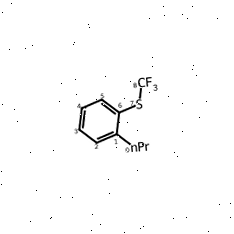 CCCc1cc[c]cc1SC(F)(F)F